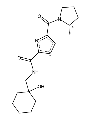 C[C@H]1CCCN1C(=O)c1csc(C(=O)NCC2(O)CCCCC2)n1